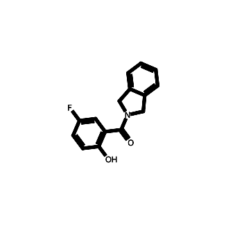 O=C(c1cc(F)ccc1O)N1Cc2ccccc2C1